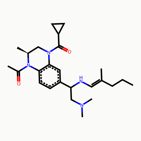 CCC/C(C)=C/NC(CN(C)C)c1ccc2c(c1)N(C(=O)C1CC1)C[C@H](C)N2C(C)=O